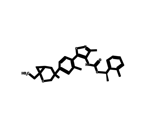 Cc1cc(C2(C)COC3(CC(=O)O)CC3C2)ccc1-c1onc(C)c1NC(=O)O[C@H](C)c1ccccc1C